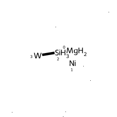 [MgH2].[Ni].[SiH3][W]